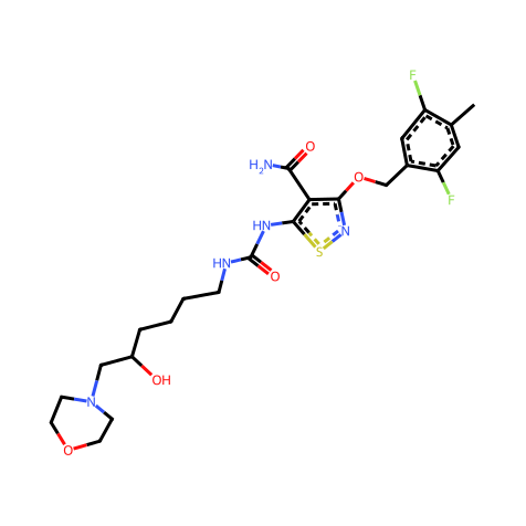 Cc1cc(F)c(COc2nsc(NC(=O)NCCCCC(O)CN3CCOCC3)c2C(N)=O)cc1F